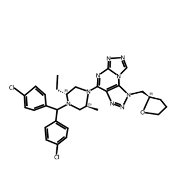 CC[C@@H]1CN(c2nc3nncn3c3c2nnn3C[C@H]2CCCO2)[C@@H](C)CN1C(c1ccc(Cl)cc1)c1ccc(Cl)cc1